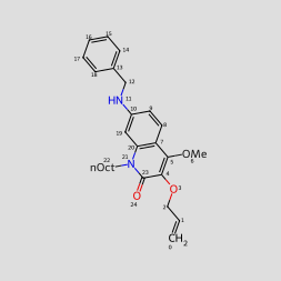 C=CCOc1c(OC)c2ccc(NCc3ccccc3)cc2n(CCCCCCCC)c1=O